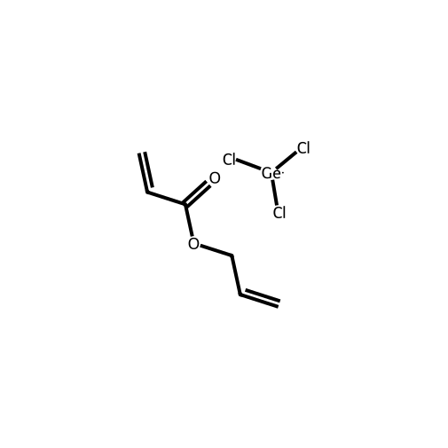 C=CCOC(=O)C=C.[Cl][Ge]([Cl])[Cl]